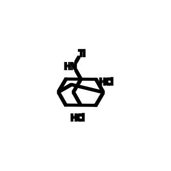 Cl.Cl.[Ti][NH]C12CC3CC(CC(C3)C1)C2